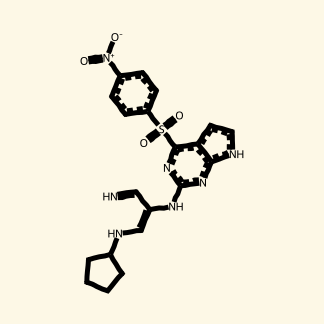 N=C/C(=C\NC1CCCC1)Nc1nc(S(=O)(=O)c2ccc([N+](=O)[O-])cc2)c2cc[nH]c2n1